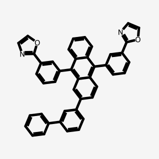 c1ccc(-c2cccc(-c3ccc4c(-c5cccc(-c6ncco6)c5)c5ccccc5c(-c5cccc(-c6ncco6)c5)c4c3)c2)cc1